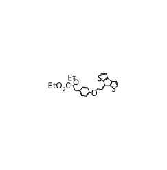 CCOC(=O)C(Cc1ccc(OCC=C2c3sccc3-c3ccsc32)cc1)OCC